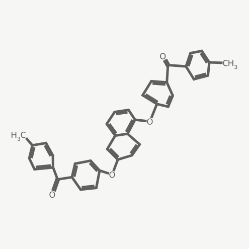 Cc1ccc(C(=O)c2ccc(Oc3ccc4c(Oc5ccc(C(=O)c6ccc(C)cc6)cc5)cccc4c3)cc2)cc1